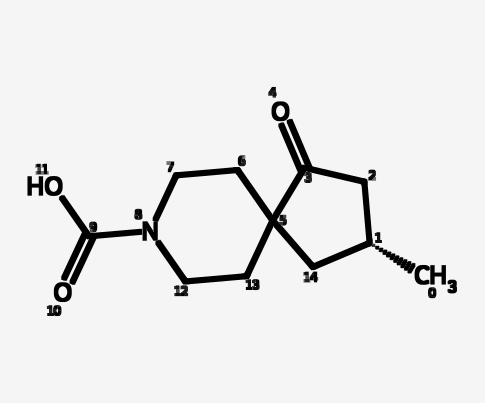 C[C@H]1CC(=O)C2(CCN(C(=O)O)CC2)C1